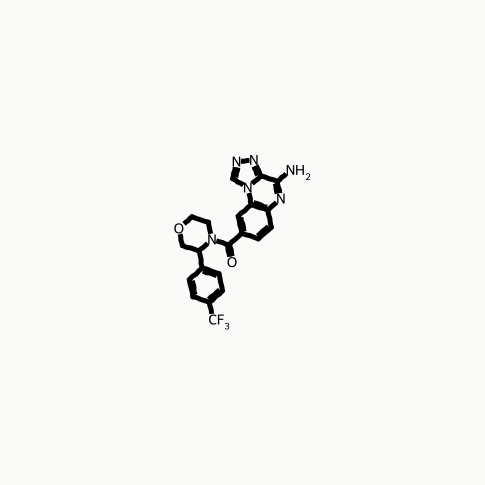 Nc1nc2ccc(C(=O)N3CCOCC3c3ccc(C(F)(F)F)cc3)cc2n2cnnc12